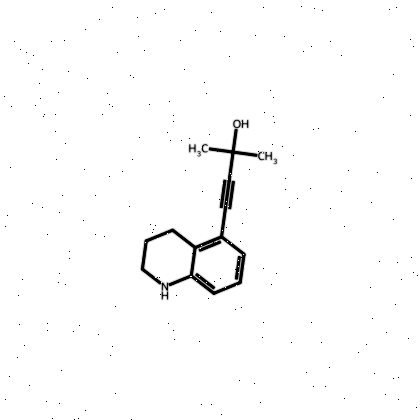 CC(C)(O)C#Cc1cccc2c1CCCN2